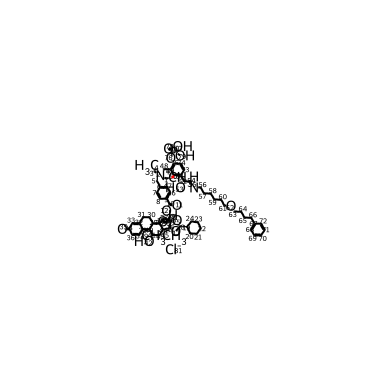 CC[N+](CC)(Cc1ccc(C(=O)OCC(=O)[C@@]23O[C@H](C4CCCCC4)O[C@H]2CC2C4CCC5=CC(=O)C=C[C@]5(C)C4[C@@H](O)C[C@@]23C)cc1)Cc1cc(C(O)CNCCCCCCOCCCCc2ccccc2)ccc1OP(=O)(O)O.[Cl-]